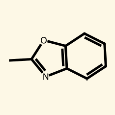 Cc1nc2[c]cccc2o1